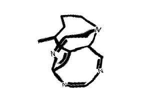 CC1CCN2C=NC3=C1C2C=NC=N3